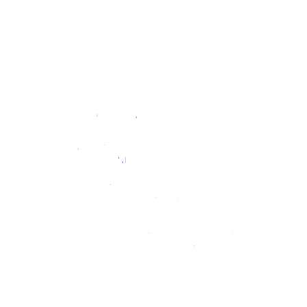 C=C/C=C(\CC)C(=O)NCC1CC2CC1C1CC(C)CC21